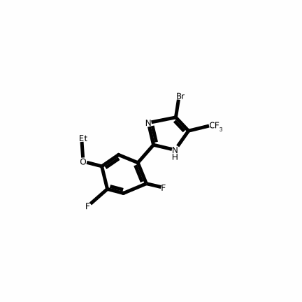 CCOc1cc(-c2nc(Br)c(C(F)(F)F)[nH]2)c(F)cc1F